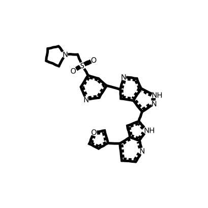 O=S(=O)(CN1CCCC1)c1cncc(-c2cc3c(-c4cc5c(-c6ccoc6)ccnc5[nH]4)n[nH]c3cn2)c1